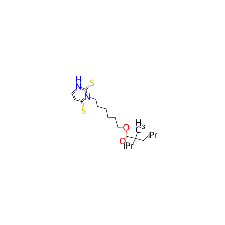 CC(C)CC(C)(C(=O)OCCCCCCn1c(=S)cc[nH]c1=S)C(C)C